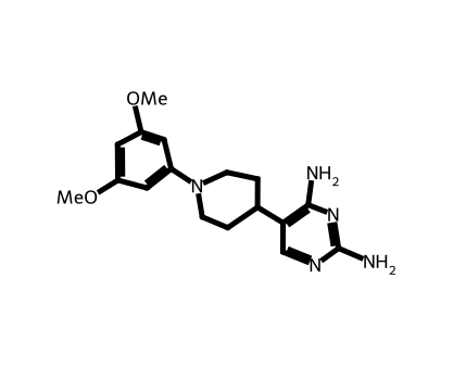 COc1cc(OC)cc(N2CCC(c3cnc(N)nc3N)CC2)c1